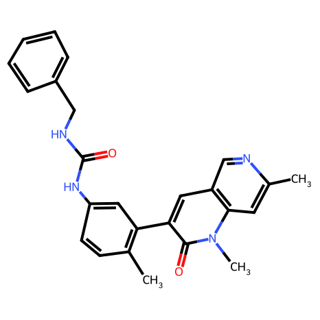 Cc1cc2c(cn1)cc(-c1cc(NC(=O)NCc3ccccc3)ccc1C)c(=O)n2C